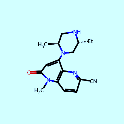 CC[C@@H]1CN(c2cc(=O)n(C)c3ccc(C#N)nc23)[C@@H](C)CN1